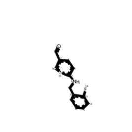 O=Cc1ccc(NCc2ccccc2F)nc1